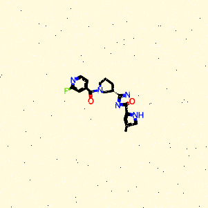 Cc1c[nH]c(-c2nc([C@H]3CCCN(C(=O)c4ccnc(F)c4)C3)no2)c1